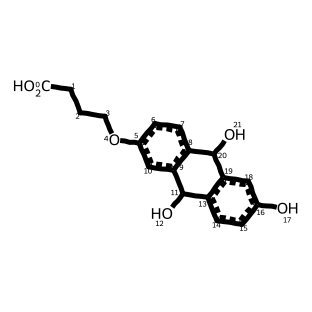 O=C(O)CCCOc1ccc2c(c1)C(O)c1ccc(O)cc1C2O